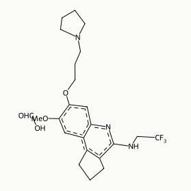 COc1cc2c3c(c(NCC(F)(F)F)nc2cc1OCCCN1CCCC1)CCC3.O=CO